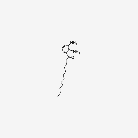 CCCCCCCCCCCC(=O)c1cccc(N)c1N